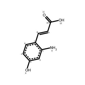 Nc1cc(O)ccc1C=CC(=O)O